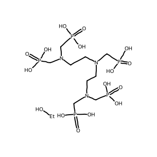 CCO.O=P(O)(O)CN(CCN(CP(=O)(O)O)CP(=O)(O)O)CCN(CP(=O)(O)O)CP(=O)(O)O